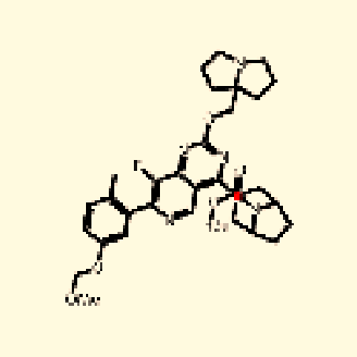 COCOc1ccc(C)c(-c2ncc3c(N4CC5CCC(C4)N5C(=O)OC(C)(C)C)nc(OCC45CCCN4CCC5)nc3c2F)c1